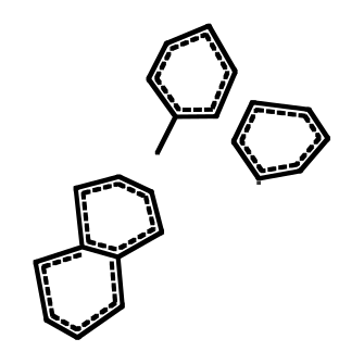 Cc1ccccc1.[c]1ccccc1.c1ccc2ccccc2c1